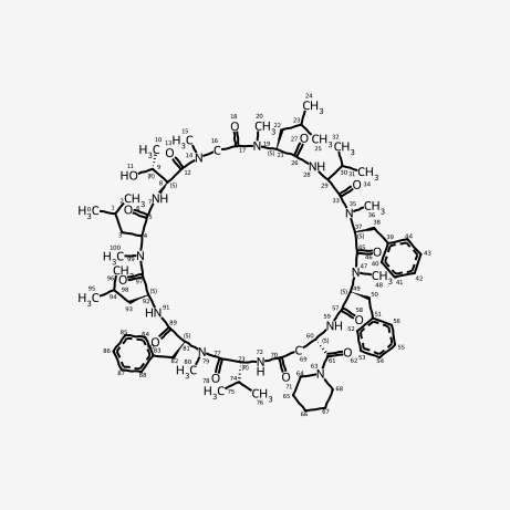 CC(C)CC1C(=O)N[C@@H]([C@@H](C)O)C(=O)N(C)CC(=O)N(C)[C@@H](CC(C)C)C(=O)NC(C(C)C)C(=O)N(C)[C@@H](Cc2ccccc2)C(=O)N(C)[C@@H](Cc2ccccc2)C(=O)N[C@H](C(=O)N2CCCCC2)CC(=O)N[C@H](C(C)C)C(=O)N(C)[C@@H](Cc2ccccc2)C(=O)N[C@@H](CC(C)C)C(=O)N1C